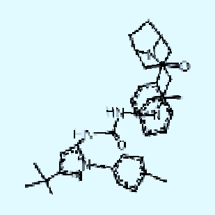 Cc1ccc(-n2nc(C(C)(C)C)cc2NC(=O)Nc2cccc(CC3CC4CCC(C3)N4C(=O)c3cccnc3C)c2)cc1